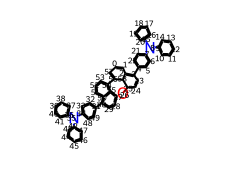 C1=CC2=C(c3ccc(N(c4ccccc4)c4ccccc4)cc3)C=CC3Oc4ccc(-c5ccc(N(c6ccccc6)c6ccccc6)cc5)c5cccc(c45)C(=C1)C23